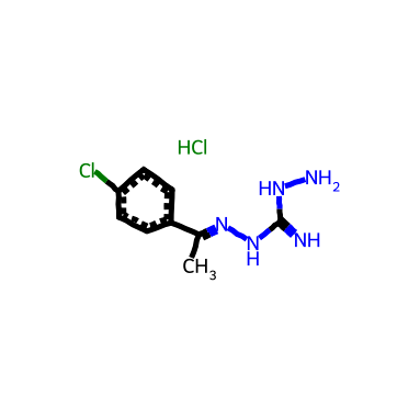 CC(=NNC(=N)NN)c1ccc(Cl)cc1.Cl